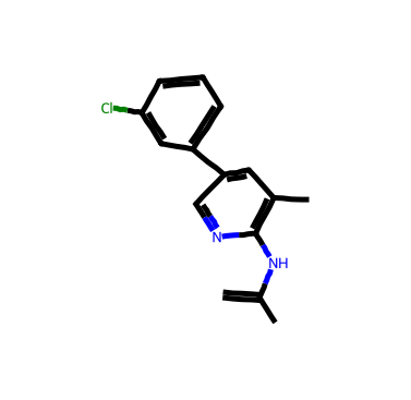 C=C(C)Nc1ncc(-c2cccc(Cl)c2)cc1C